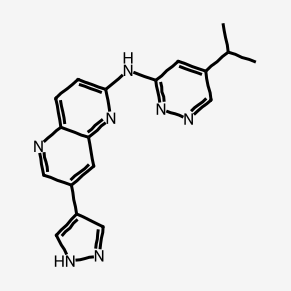 CC(C)c1cnnc(Nc2ccc3ncc(-c4cn[nH]c4)cc3n2)c1